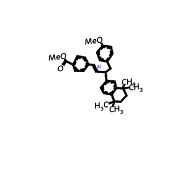 COC(=O)c1ccc(/C=C/C(Cc2ccc(OC)cc2)c2ccc3c(c2)C(C)(C)CCC3(C)C)cc1